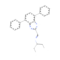 CCC(CC)/N=C/c1nc2c(-c3ccccc3)ccc(-c3ccccc3)c2[nH]1